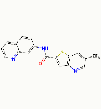 O=C(Nc1ccc2cccnc2c1)c1cc2ncc(C(F)(F)F)cc2s1